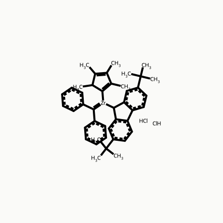 CC1=C(C)C(C)[C]([Zr](=[C](c2ccccc2)c2ccccc2)[CH]2c3cc(C(C)(C)C)ccc3-c3ccc(C(C)(C)C)cc32)=C1C.Cl.Cl